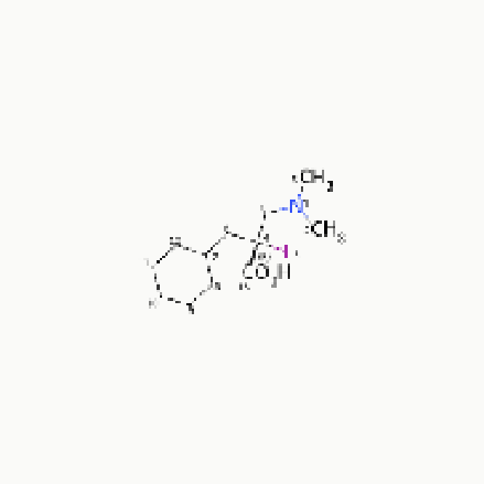 CN(C)C[C@](I)(CC1CCCCC1)C(=O)O